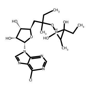 CCC(C)(C[C@H]1O[C@H](n2cnc3c(Cl)ncnc32)[C@H](O)[C@@H]1O)O[PH]1(O)C(C)C1(O)CC